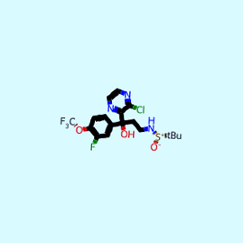 CC(C)(C)[S+]([O-])NCCC(O)(c1ccc(OC(F)(F)F)c(F)c1)c1nccnc1Cl